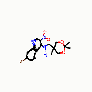 CC1(CNc2c([N+](=O)[O-])cnc3cc(Br)ccc23)COC(C)(C)OC1